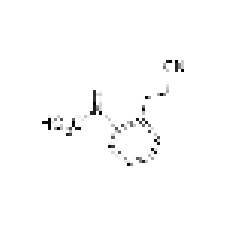 N#CCCc1ccccc1NC(=O)O